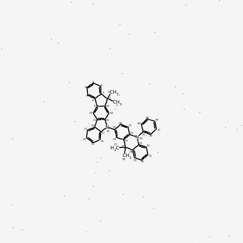 CC1(C)c2ccccc2-c2cc3c4ccccc4n(-c4ccc5c(c4)C(C)(C)c4ccccc4N5c4ccccc4)c3cc21